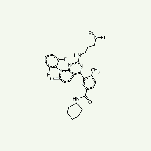 CCN(CC)CCCNc1nc(-c2cc(C(=O)NC3CCCCC3)ccc2C)c2ccc(=O)n(-c3c(F)cccc3F)c2n1